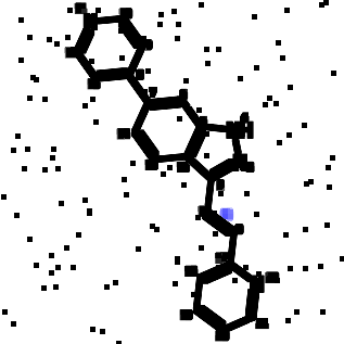 C(=C\c1n[nH]c2cc(-c3ccncc3)ccc12)/c1ccccn1